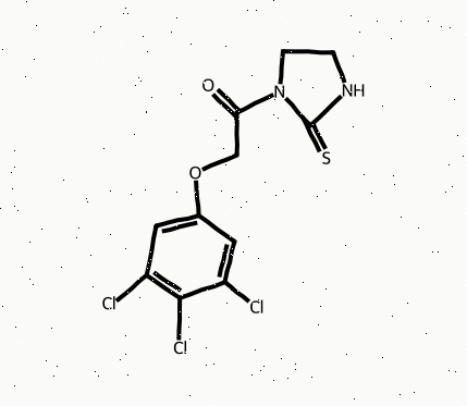 O=C(COc1cc(Cl)c(Cl)c(Cl)c1)N1CCNC1=S